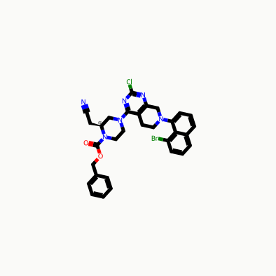 N#CC[C@H]1CN(c2nc(Cl)nc3c2CCN(c2cccc4cccc(Br)c24)C3)CCN1C(=O)OCc1ccccc1